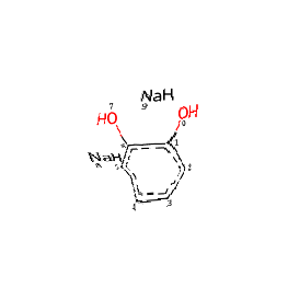 Oc1ccccc1O.[NaH].[NaH]